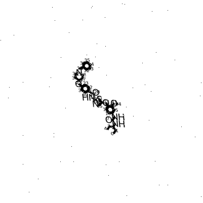 CCC(CC)NC(=O)Nc1ccc(Oc2cnc(NC(=O)c3ccc(OC4CCN(Cc5ccccc5)CC4)cc3)s2)c(OC)c1